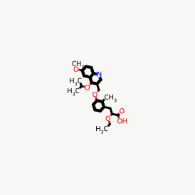 CCOC(Cc1cccc(OCc2cnc3ccc(OC)cc3c2OC(C)C)c1C)C(=O)O